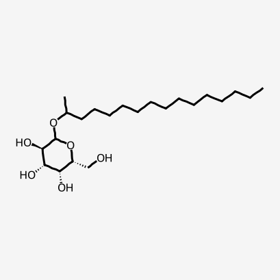 CCCCCCCCCCCCCCC(C)OC1O[C@H](CO)[C@H](O)[C@H](O)[C@H]1O